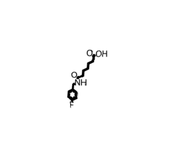 O=C(O)CCCCCC(=O)NCc1ccc(F)cc1